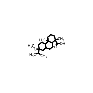 COC1(C(C)C)CCC2C(CCC3C(C)(C(=O)O)CCCC23C)C1